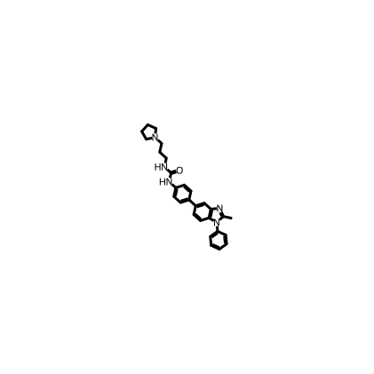 Cc1nc2cc(-c3ccc(NC(=O)NCCCN4CCCC4)cc3)ccc2n1-c1ccccc1